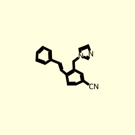 N#Cc1ccc(C=Cc2ccccc2)c(Cn2ccnc2)c1